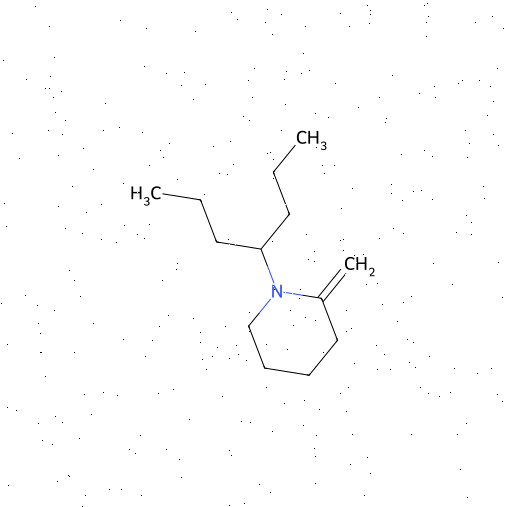 C=C1CCCCN1C(CCC)CCC